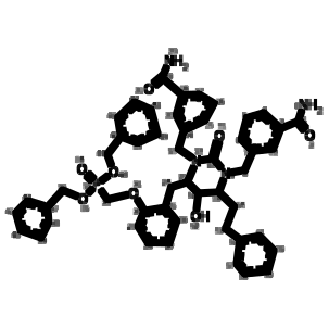 NC(=O)c1cccc(CN2C(=O)N(Cc3cccc(C(N)=O)c3)C(Cc3ccccc3OCP(=O)(OCc3ccccc3)OCc3ccccc3)C(O)C2CCc2ccccc2)c1